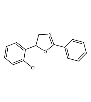 Clc1ccccc1C1CN=C(c2ccccc2)O1